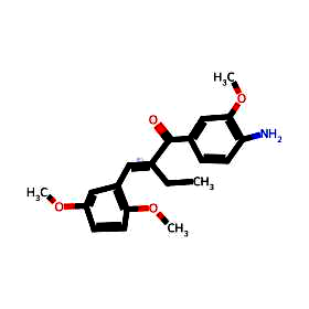 CC/C(=C\c1cc(OC)ccc1OC)C(=O)c1ccc(N)c(OC)c1